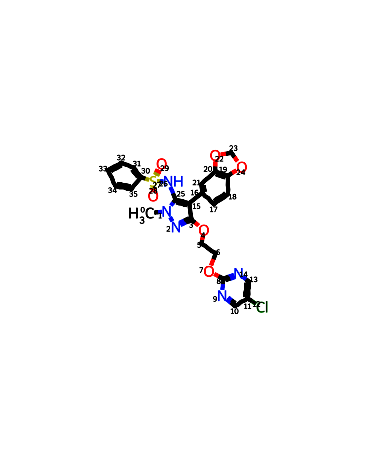 Cn1nc(OCCOc2ncc(Cl)cn2)c(-c2ccc3c(c2)OCO3)c1NS(=O)(=O)c1ccccc1